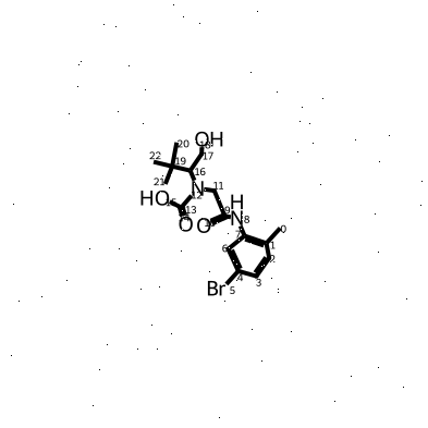 Cc1ccc(Br)cc1NC(=O)CN(C(=O)O)C(CO)C(C)(C)C